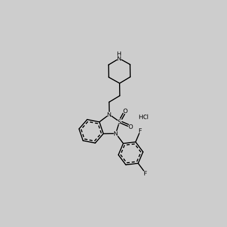 Cl.O=S1(=O)N(CCC2CCNCC2)c2ccccc2N1c1ccc(F)cc1F